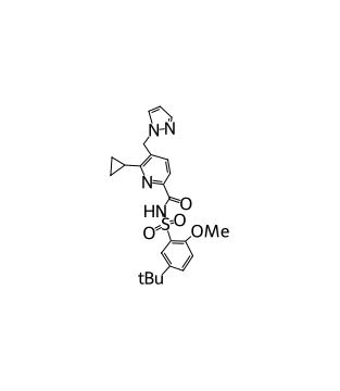 COc1ccc(C(C)(C)C)cc1S(=O)(=O)NC(=O)c1ccc(Cn2cccn2)c(C2CC2)n1